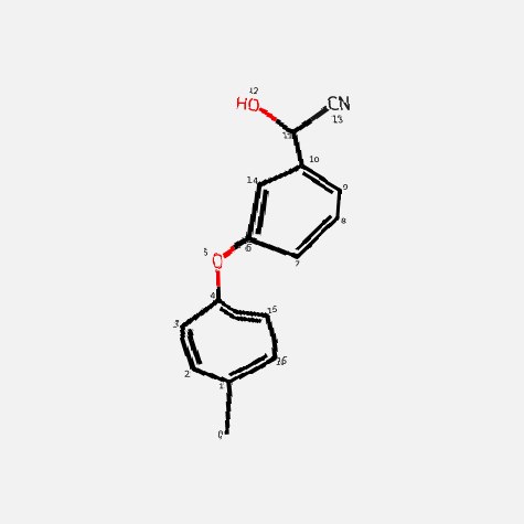 Cc1ccc(Oc2cccc(C(O)C#N)c2)cc1